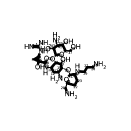 N=C(N)NC1CC1(O)C(=O)N[C@@H]1C[C@H](N)[C@@H](O[C@H]2O[C@H](CN)CC[C@H]2NCCCN)[C@H](O)[C@H]1O[C@H]1O[C@H](CO)[C@@H](O)[C@H](N)[C@H]1O